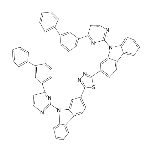 c1ccc(-c2cccc(-c3ccnc(-n4c5ccccc5c5ccc(-c6nnc(-c7ccc8c9ccccc9n(-c9nccc(-c%10cccc(-c%11ccccc%11)c%10)n9)c8c7)s6)cc54)n3)c2)cc1